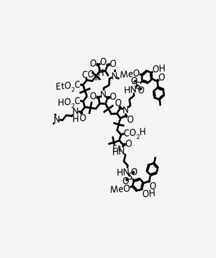 CCOC(=O)C(C(CC(C)(C)C1C(=O)OC(=O)C1C)C(=O)O)C(C)(C)CC(C(=O)O)C(C(=O)NCCCN(C)C)C(C)(C)CC1C(=O)N(CCCN(C)C)C(=O)C1C(C)(C)CC1C(=O)N(CCCNS(=O)(=O)c2cc(C(=O)c3ccc(C)cc3)c(O)cc2OC)C(=O)C1C(C)(C)CC(C(=O)O)C(C(=O)NCCCNS(=O)(=O)c1cc(C(=O)c2ccc(C)cc2)c(O)cc1OC)C(C)(C)CC